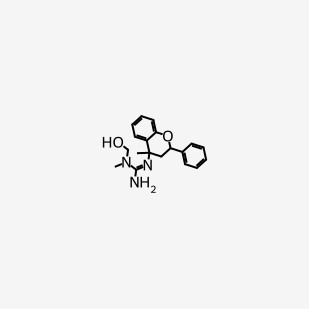 CN(CO)/C(N)=N\C1(C)CC(c2ccccc2)Oc2ccccc21